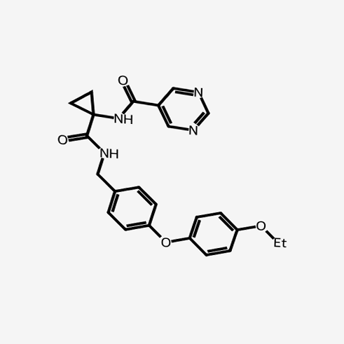 CCOc1ccc(Oc2ccc(CNC(=O)C3(NC(=O)c4cncnc4)CC3)cc2)cc1